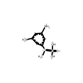 CS(c1cc(N)cc(N)c1)=S(=O)(O)O